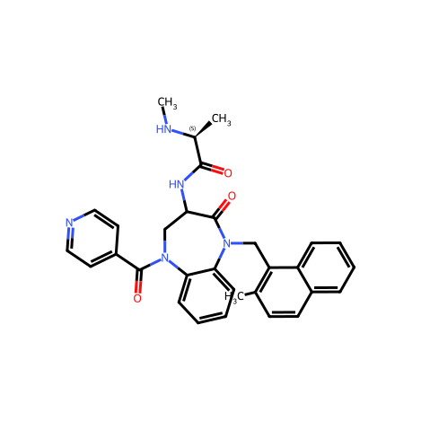 CN[C@@H](C)C(=O)NC1CN(C(=O)c2ccncc2)c2ccccc2N(Cc2c(C)ccc3ccccc23)C1=O